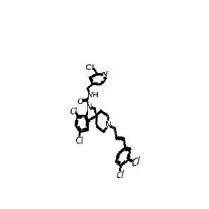 O=C(NCc1ccnc(Cl)c1)N1CC2(CCN(C/C=C/c3ccc(Cl)c(Cl)c3)CC2)c2cc(Cl)cc(Cl)c21